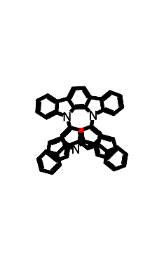 c1ccc(-c2cc(-c3ccccc3)cc(-n3c4ccccc4c4ccc5c6ccccc6n(-c6cc(-c7ccccc7)nc(-c7ccccc7)c6)c5c43)c2)cc1